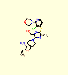 C=C[C@@H]1OCC2(CCN(c3nc(C)c(Sc4ccnc(N5CCOCC5)c4Cl)nc3CO)CC2)[C@@H]1N